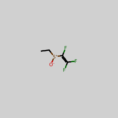 CC[S+]([O-])C(F)=C(F)F